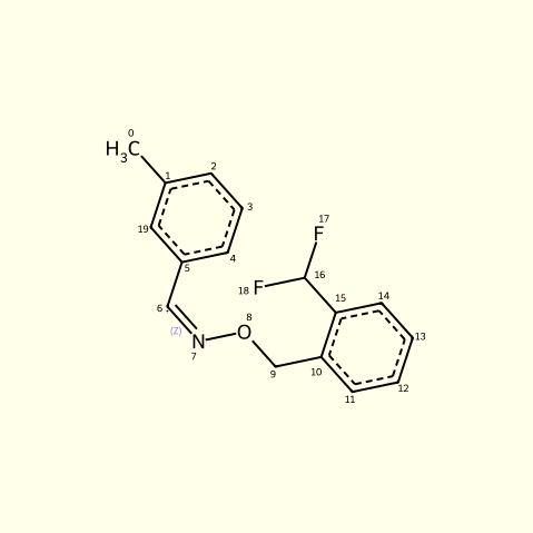 Cc1cccc(/[C]=N\OCc2ccccc2C(F)F)c1